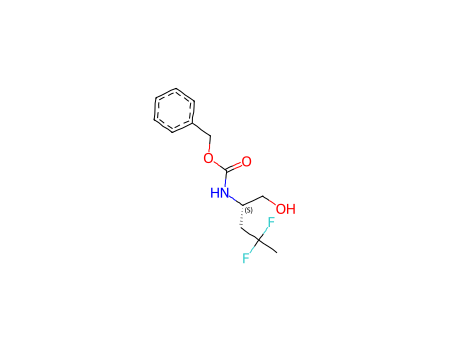 CC(F)(F)C[C@@H](CO)NC(=O)OCc1ccccc1